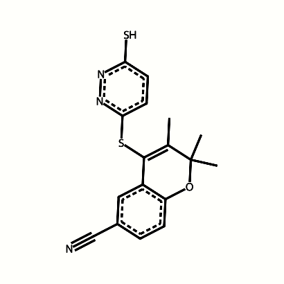 CC1=C(Sc2ccc(S)nn2)c2cc(C#N)ccc2OC1(C)C